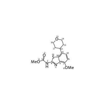 COC(=O)Nc1nc2c(OC)ccc(C3CCOCC3)c2s1